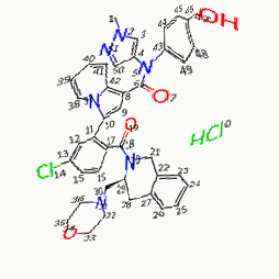 Cl.Cn1cc(N(C(=O)c2cc(-c3cc(Cl)ccc3C(=O)N3Cc4ccccc4C[C@H]3CN3CCOCC3)n3ccccc23)c2ccc(O)cc2)cn1